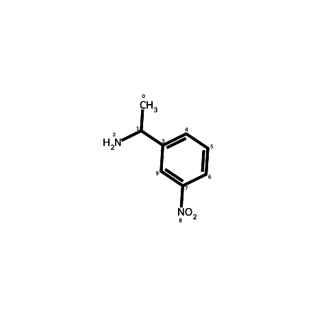 CC(N)c1cccc([N+](=O)[O-])c1